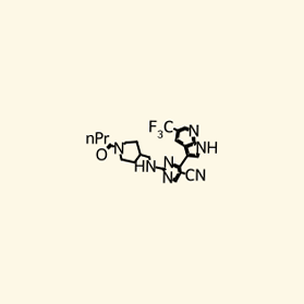 CCCC(=O)N1CCC(CNc2ncc(C#N)c(-c3c[nH]c4ncc(C(F)(F)F)cc34)n2)CC1